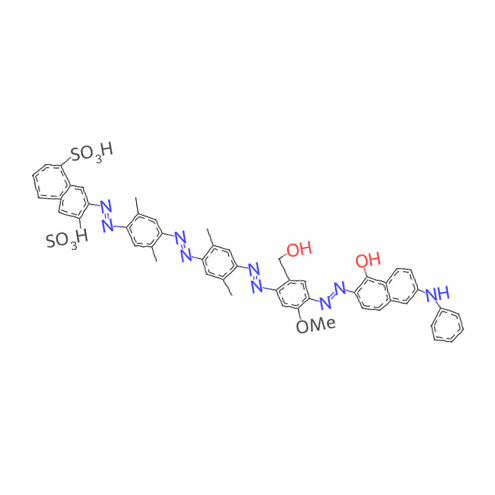 COc1cc(N=Nc2cc(C)c(N=Nc3cc(C)c(N=Nc4cc5c(S(=O)(=O)O)cccc5cc4S(=O)(=O)O)cc3C)cc2C)c(CO)cc1N=Nc1ccc2cc(Nc3ccccc3)ccc2c1O